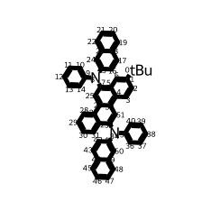 CC(C)(C)c1ccc2c(c1)c(N(c1ccccc1)c1ccc3ccccc3c1)cc1c3ccccc3c(N(c3ccccc3)c3ccc4ccccc4c3)cc21